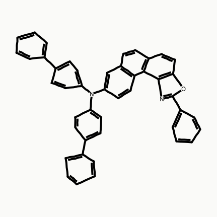 c1ccc(-c2ccc(N(c3ccc(-c4ccccc4)cc3)c3ccc4c(ccc5ccc6oc(-c7ccccc7)nc6c54)c3)cc2)cc1